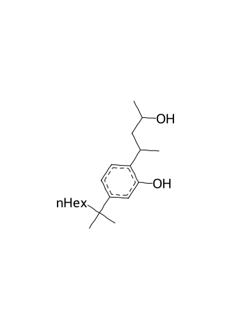 CCCCCCC(C)(C)c1ccc(C(C)CC(C)O)c(O)c1